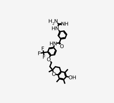 Cc1c(C)c2c(c(C)c1O)CCC(C)(CCOc1ccc(NC(=O)c3cccc(NC(=N)N)c3)cc1C(F)(F)F)O2